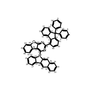 c1ccc(C2(c3ccccc3)c3ccccc3-c3c(-c4nc(-n5c6ccccc6c6cc7ccccc7cc65)c5c(n4)oc4ccccc45)cccc32)cc1